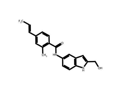 Cc1cc(C=CC(F)(F)F)ccc1C(=O)Nc1ccc2[nH]c(CO)cc2c1